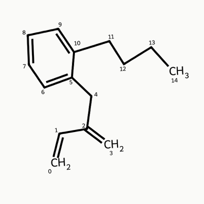 C=CC(=C)Cc1ccccc1CCCC